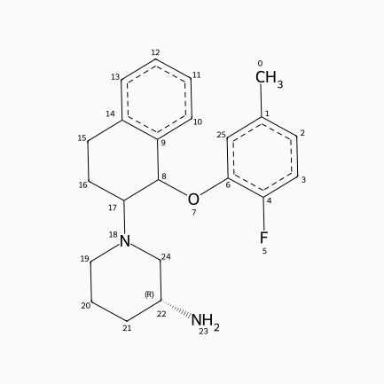 Cc1ccc(F)c(OC2c3ccccc3CCC2N2CCC[C@@H](N)C2)c1